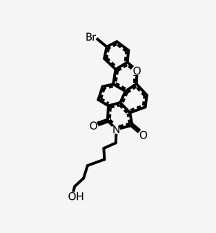 O=c1c2ccc3oc4ccc(Br)cc4c4ccc(c(=O)n1CCCCCCO)c2c34